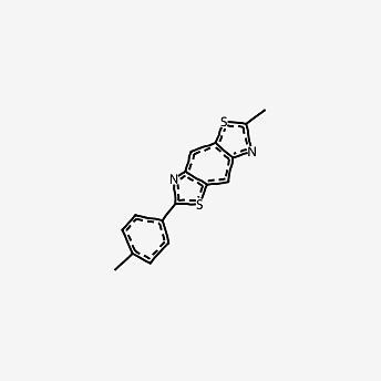 Cc1ccc(-c2nc3cc4sc(C)nc4cc3s2)cc1